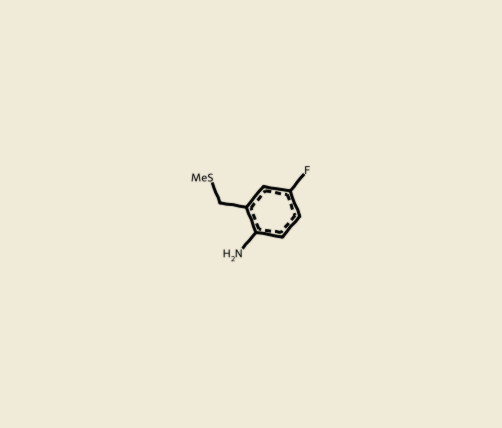 CSCc1cc(F)ccc1N